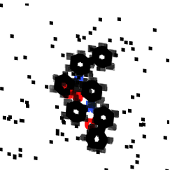 O=S(=O)(Oc1c(N(c2ccccc2)c2cccc(-c3ccccc3)c2)cccc1N(c1ccccc1)c1cccc2c1oc1ccccc12)C(F)(F)F